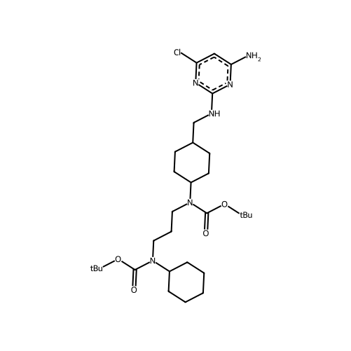 CC(C)(C)OC(=O)N(CCCN(C(=O)OC(C)(C)C)C1CCC(CNc2nc(N)cc(Cl)n2)CC1)C1CCCCC1